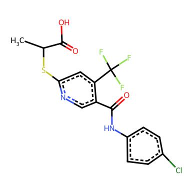 CC(Sc1cc(C(F)(F)F)c(C(=O)Nc2ccc(Cl)cc2)cn1)C(=O)O